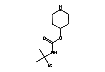 CCC(C)(C)NC(=O)OC1CCNCC1